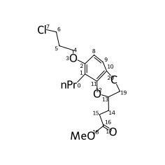 CCCc1c(OCCCCl)ccc2c1OC(CCC(=O)OC)CC2